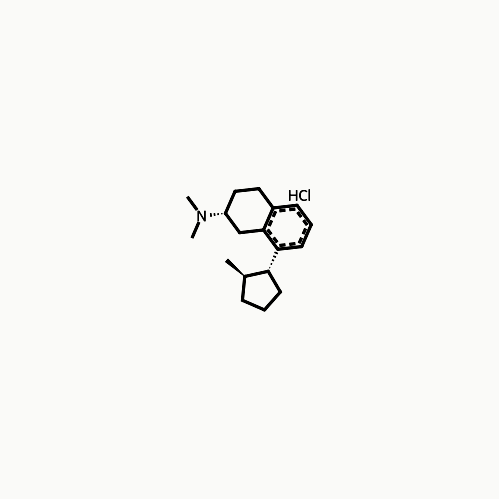 C[C@@H]1CCC[C@H]1c1cccc2c1C[C@H](N(C)C)CC2.Cl